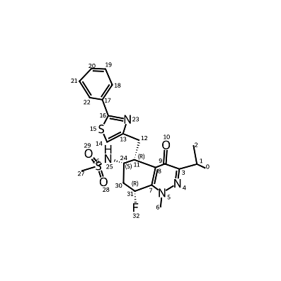 CC(C)c1nn(C)c2c(c1=O)[C@@H](Cc1csc(-c3ccccc3)n1)[C@@H](NS(C)(=O)=O)C[C@H]2F